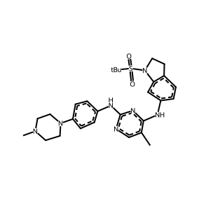 Cc1cnc(Nc2ccc(N3CCN(C)CC3)cc2)nc1Nc1ccc2c(c1)N(S(=O)(=O)C(C)(C)C)CC2